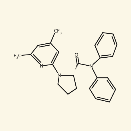 O=C([C@@H]1CCCN1c1cc(C(F)(F)F)cc(C(F)(F)F)n1)N(c1ccccc1)c1ccccc1